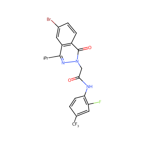 CC(C)c1nn(CC(=O)Nc2ccc(C(F)(F)F)cc2F)c(=O)c2ccc(Br)cc12